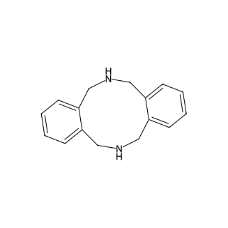 c1ccc2c(c1)CNCc1ccccc1CNC2